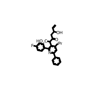 C=CC(O)CC(=O)C(C(=O)O)c1c(C(C)C)cc(-c2ccccc2)nc1-c1ccc(F)cc1